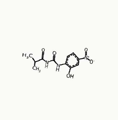 CC(C)C(=O)NC(=O)Nc1ccc([N+](=O)[O-])cc1O